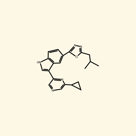 CC(C)Cc1nnc(-c2ccc3[nH]cc(-c4cncc(C5CC5)n4)c3c2)o1